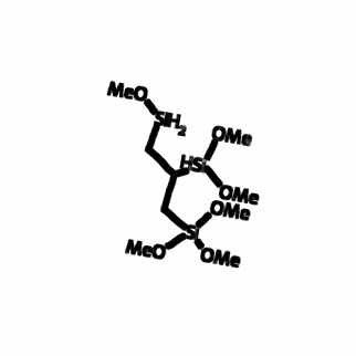 CO[SiH2]CC(C[Si](OC)(OC)OC)[SiH](OC)OC